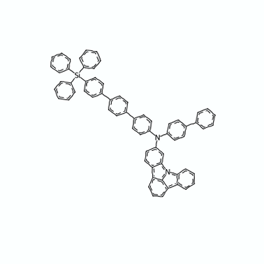 c1ccc(-c2ccc(N(c3ccc(-c4ccc(-c5ccc([Si](c6ccccc6)(c6ccccc6)c6ccccc6)cc5)cc4)cc3)c3ccc4c5cccc6c7ccccc7n(c4c3)c65)cc2)cc1